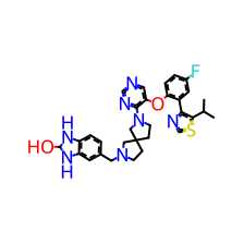 CC(C)c1scnc1-c1cc(F)ccc1Oc1cncnc1N1CCC2(CCN(Cc3ccc4c(c3)NC(O)N4)C2)C1